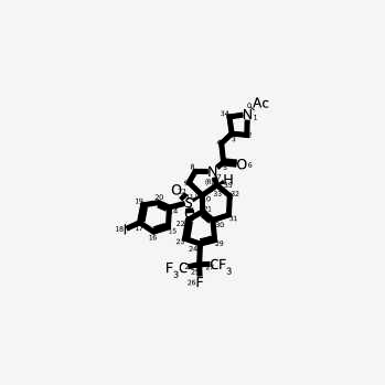 CC(=O)N1CC(CC(=O)N2CC[C@@]3(S(=O)(=O)c4ccc(I)cc4)c4ccc(C(F)(C(F)(F)F)C(F)(F)F)cc4CC[C@@H]23)C1